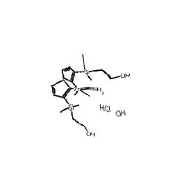 C[Si](C)(CCO)C1=[C]([Zr]([CH3])([CH3])(=[SiH2])[C]2=C([Si](C)(C)CCO)C=CC2)CC=C1.Cl.Cl